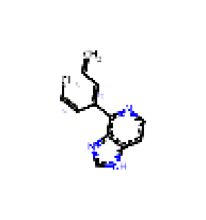 C=C/C=C(\C=C/C)c1nccc2[nH]cnc12